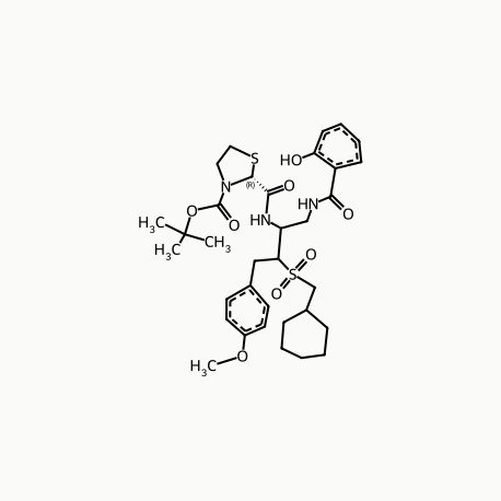 COc1ccc(CC(C(CNC(=O)c2ccccc2O)NC(=O)[C@H]2SCCN2C(=O)OC(C)(C)C)S(=O)(=O)CC2CCCCC2)cc1